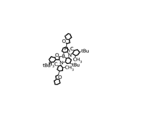 Cc1cc(C(C)(C)C)cc(C)c1N1c2cc(-c3cc4ccccc4o3)ccc2B2c3oc4ccc(C(C)(C)C)cc4c3N(c3c(C)cc(-c4cc5ccccc5o4)cc3C)c3cc(C(C)(C)C)cc1c32